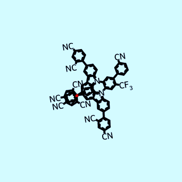 N#Cc1cccc(-c2cc(-n3c4ccc(-c5ccc(C#N)cc5C#N)cc4c4cc(-c5ccc(C#N)cc5C#N)ccc43)c(-n3c4ccc(-c5ccc(C#N)cc5C#N)cc4c4cc(-c5ccc(C#N)cc5C#N)ccc43)cc2C(F)(F)F)c1